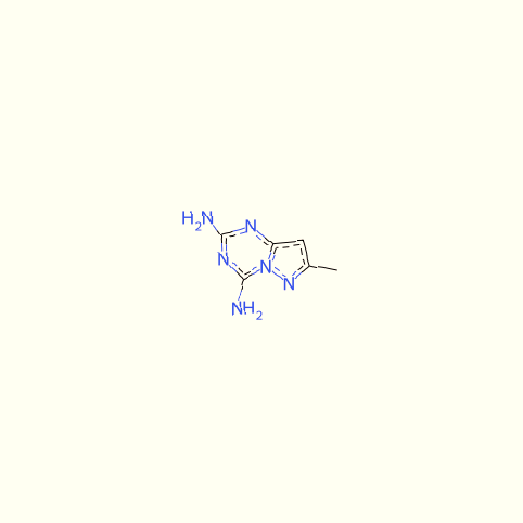 Cc1cc2nc(N)nc(N)n2n1